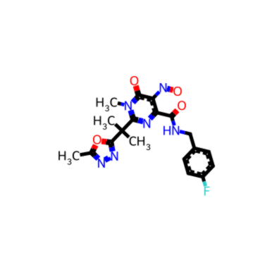 Cc1nnc(C(C)(C)c2nc(C(=O)NCc3ccc(F)cc3)c(N=O)c(=O)n2C)o1